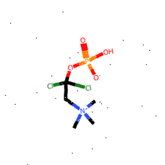 C[N+](C)(C)CC(Cl)(Cl)OP(=O)([O-])O